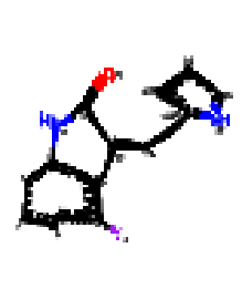 O=C1Nc2cccc(I)c2C1=Cc1ccc[nH]1